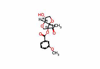 COc1cccc(C(=O)O[C@@]2(C(C)=O)CO[C@@H]3[C@H](O)CO[C@@H]32)c1